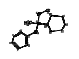 CCO[Si](C)(Oc1ccccc1)C1CCCCC1